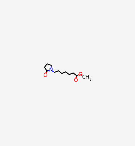 COC(=O)CCCCCCN1CCCC1=O